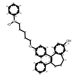 [O-][S+](CCCCCOc1ccc(C2=C(c3ccccc3)CCCc3cc(O)ccc32)cc1)c1ccccc1